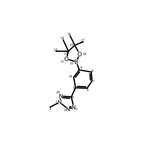 Cn1nnc(-c2cccc(B3OC(C)(C)C(C)(C)O3)c2)n1